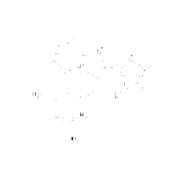 Nc1nc(N)nc(Cn2c(-c3nonc3N)nc3ccccc32)n1